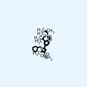 Cc1c(S(N)(=O)=O)cc(-c2ccc3c(c2)C(C)(C)CN(CC(C)(C)C)S3(=O)=O)n1CC1CCCCC1